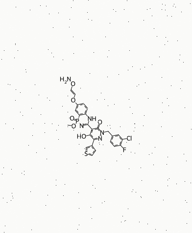 COP1(=O)N=C(c2c(O)c(-c3ccsc3)nn(Cc3ccc(F)c(Cl)c3)c2=O)Nc2ccc(O/C=C/ON)cc21